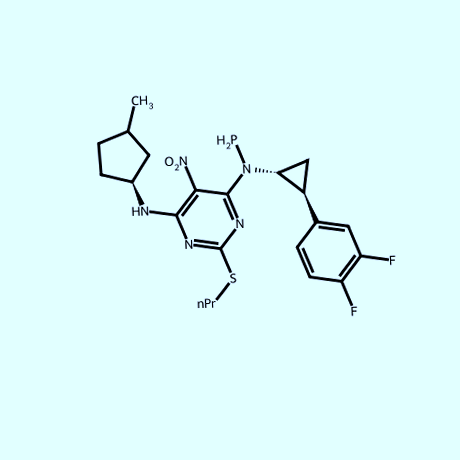 CCCSc1nc(N[C@H]2CCC(C)C2)c([N+](=O)[O-])c(N(P)[C@@H]2C[C@H]2c2ccc(F)c(F)c2)n1